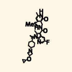 CSc1cc(C)[nH]c(=O)c1CNC(=O)c1c(C)n([C@H](C)C2CCC(N3CC(OC4CC4)C3)CC2)c2ncc(F)cc12